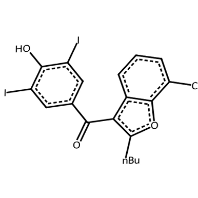 CCCCc1oc2c(Cl)cccc2c1C(=O)c1cc(I)c(O)c(I)c1